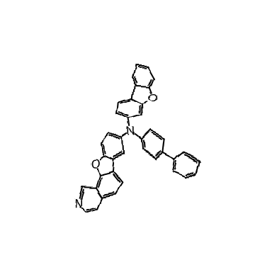 c1ccc(-c2ccc(N(c3ccc4c(c3)oc3ccccc34)c3ccc4oc5c6cnccc6ccc5c4c3)cc2)cc1